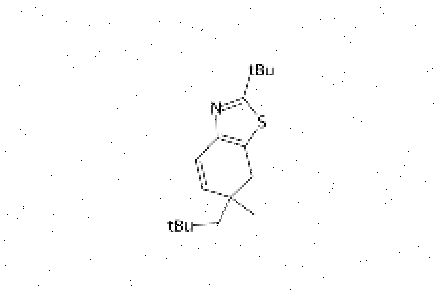 CC(C)(C)CC1(C)C=Cc2nc(C(C)(C)C)sc2C1